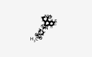 CS(=O)(=O)N1CCN(c2nc3c4ccc(F)cc4c4c(=O)[nH]ccc4c3s2)CC1